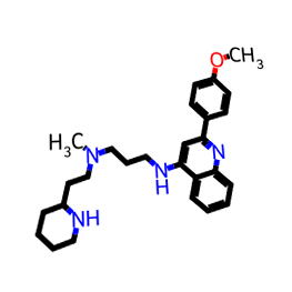 COc1ccc(-c2cc(NCCCN(C)CCC3CCCCN3)c3ccccc3n2)cc1